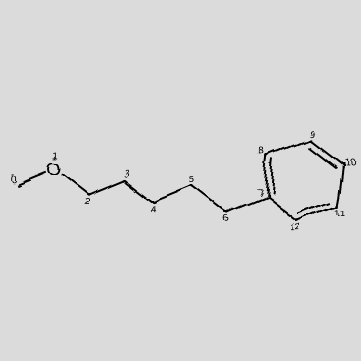 COCCCCCc1ccccc1